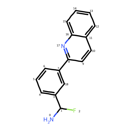 NC(F)c1cccc(-c2ccc3ccccc3n2)c1